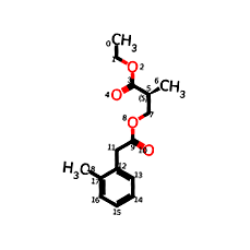 CCOC(=O)[C@@H](C)COC(=O)Cc1ccccc1C